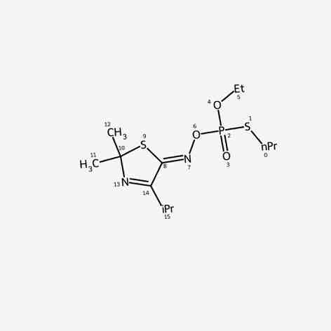 CCCSP(=O)(OCC)O/N=C1\SC(C)(C)N=C1C(C)C